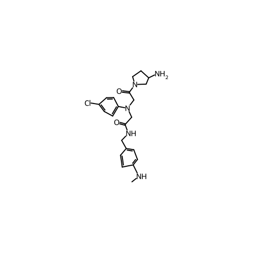 CNc1ccc(CNC(=O)CN(CC(=O)N2CCC(N)C2)c2ccc(Cl)cc2)cc1